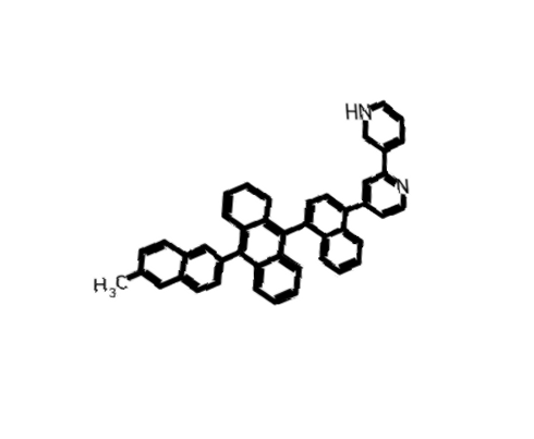 Cc1ccc2cc(-c3c4ccccc4c(-c4ccc(-c5ccnc(C6=CC=CNC6)c5)c5ccccc45)c4ccccc34)ccc2c1